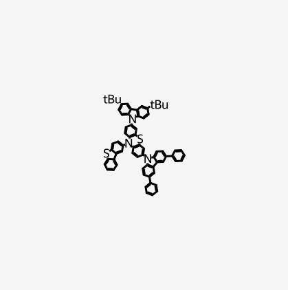 CC(C)(C)c1ccc2c(c1)c1cc(C(C)(C)C)ccc1n2-c1ccc2c(c1)Sc1cc(-n3c4ccc(-c5ccccc5)cc4c4cc(-c5ccccc5)ccc43)ccc1N2c1ccc2sc3ccccc3c2c1